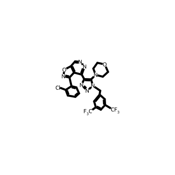 FC(F)(F)c1cc(Cn2nnc(-c3nncc4onc(-c5ccccc5Cl)c34)c2N2CCOCC2)cc(C(F)(F)F)c1